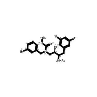 CC(=O)NC(Cc1cc(F)cc(F)c1)[C@H](O)CN(Cc1cccc(Br)c1)C(=O)OC(C)(C)C